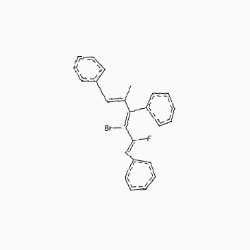 CC(=Cc1ccccc1)C(=C(Br)C(F)=Cc1ccccc1)c1ccccc1